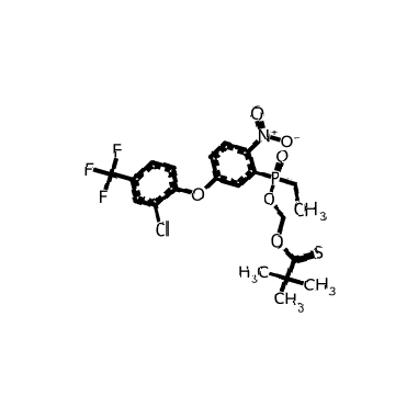 CCP(=O)(OCOC(=S)C(C)(C)C)c1cc(Oc2ccc(C(F)(F)F)cc2Cl)ccc1[N+](=O)[O-]